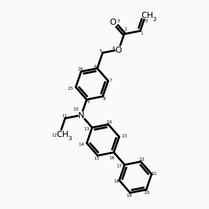 C=CC(=O)OCc1ccc(N(CC)c2ccc(-c3ccccc3)cc2)cc1